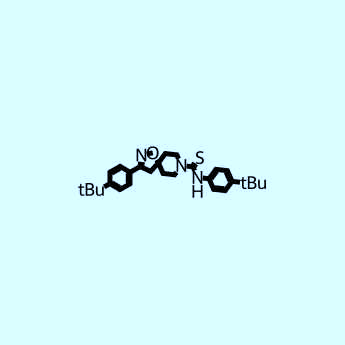 CC(C)(C)c1ccc(NC(=S)N2CCC3(CC2)CC(c2ccc(C(C)(C)C)cc2)=NO3)cc1